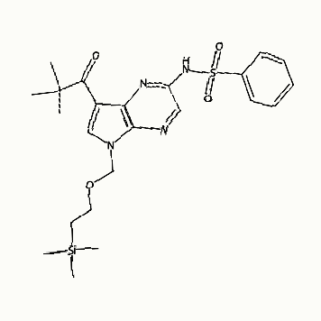 CC(C)(C)C(=O)c1cn(COCC[Si](C)(C)C)c2ncc(NS(=O)(=O)c3ccccc3)nc12